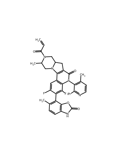 C=CC(=O)N1CC2Cc3c(c4cc(F)c(-c5c(C)ccc6[nH]c(=O)oc56)c(F)c4n(-c4c(C)ccnc4C(C)C)c3=O)N2CC1C